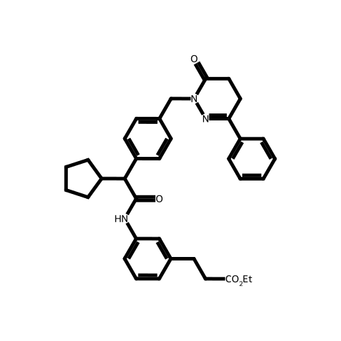 CCOC(=O)CCc1cccc(NC(=O)C(c2ccc(CN3N=C(c4ccccc4)CCC3=O)cc2)C2CCCC2)c1